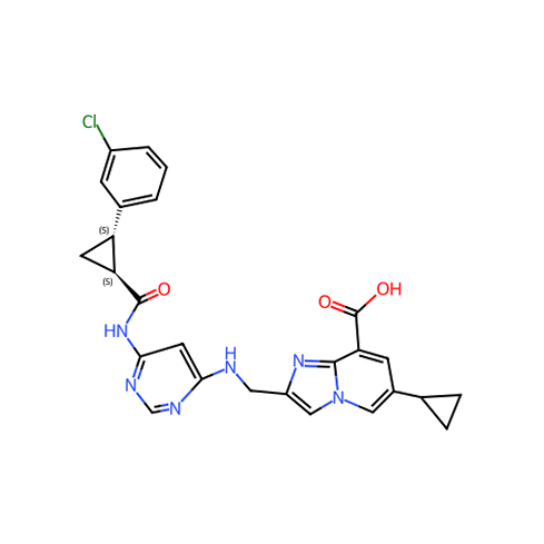 O=C(O)c1cc(C2CC2)cn2cc(CNc3cc(NC(=O)[C@H]4C[C@@H]4c4cccc(Cl)c4)ncn3)nc12